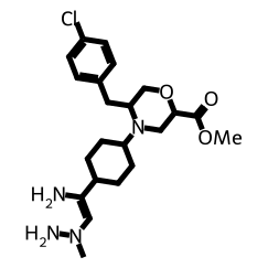 COC(=O)C1CN(C2CCC(/C(N)=C/N(C)N)CC2)C(Cc2ccc(Cl)cc2)CO1